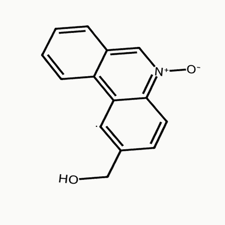 [O-][n+]1cc2ccccc2c2[c]c(CO)ccc21